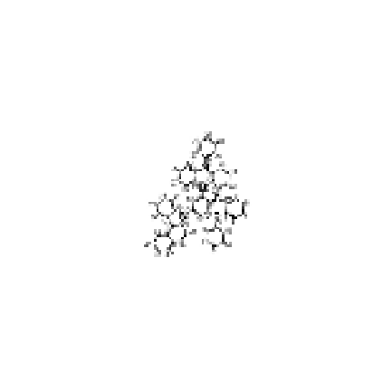 c1ccc(B2c3ccccc3N3c4cccc5c4B(c4ccccc4N5c4ccccc4)c4cc(-n5c6ccccc6c6c7ccccc7ccc65)cc2c43)cc1